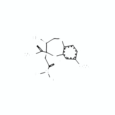 CCN(CC)C(=O)C[C@]1(C(=O)OC)Sc2cc(OC)ccc2OC[C@@H]1O